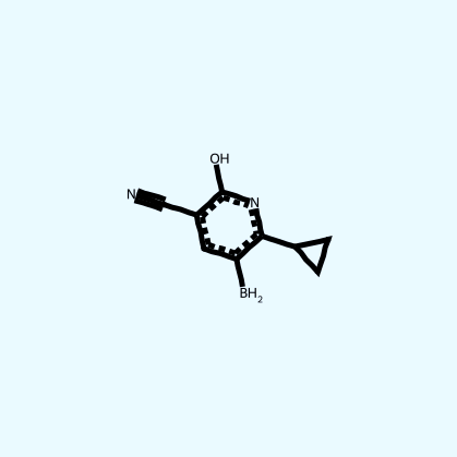 Bc1cc(C#N)c(O)nc1C1CC1